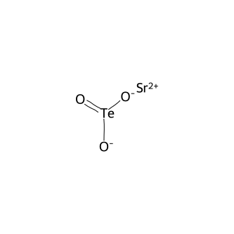 O=[Te]([O-])[O-].[Sr+2]